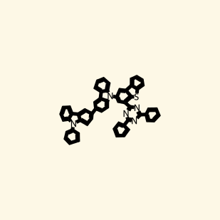 c1ccc(-c2nc(-c3ccccc3)nc(-c3cc(-n4c5ccccc5c5cc(-c6ccc7c(c6)c6ccccc6n7-c6ccccc6)ccc54)cc4c3sc3ccccc34)n2)cc1